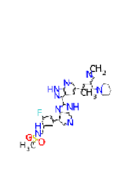 C=N/C=C(\C=C(/C)c1cnc2[nH]nc(-c3nc4c(-c5cc(F)cc(CNS(C)(=O)=O)c5)cncc4[nH]3)c2c1)CN1CCCCC1